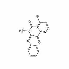 CCc1cccc2c1C(=O)C(N)C(=Nc1ccccc1)C2=O